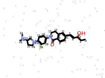 CCC(O)C=Cc1ccc2c(c1)CCN(c1ccc(N3CCC(N(C)C)C3)c(F)c1)C2=O